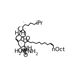 CCCCCCCC/C=C\CCCCCCCC(=O)C1C(NP(N)(N)=O)[C@H](O)CC2=CC[C@H]3[C@@H]4CC[C@H]([C@H](C)CCCC(C)C)[C@@]4(C)CC[C@@H]3[C@]21C